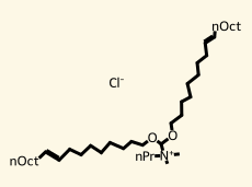 CCCCCCCCC=CCCCCCCCCOC(OCCCCCCCCC=CCCCCCCCC)[N+](C)(C)CCC.[Cl-]